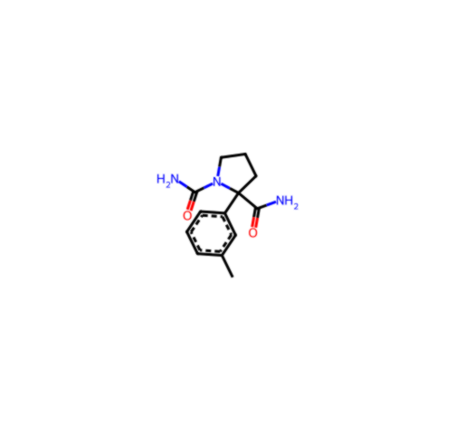 Cc1cccc(C2(C(N)=O)CCCN2C(N)=O)c1